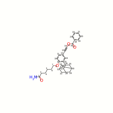 NC(=O)CCCCCOc1ccc(C#COC(=O)c2ccccc2)cc1C12CC3CC(CC(C3)C1)C2